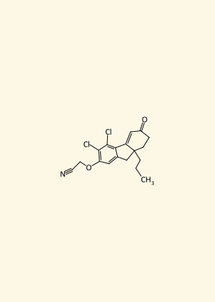 CCCC12CCC(=O)C=C1c1c(cc(OCC#N)c(Cl)c1Cl)C2